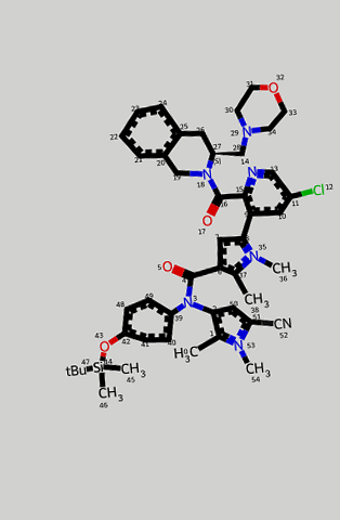 Cc1c(N(C(=O)c2cc(-c3cc(Cl)cnc3C(=O)N3Cc4ccccc4C[C@H]3CN3CCOCC3)n(C)c2C)c2ccc(O[Si](C)(C)C(C)(C)C)cc2)cc(C#N)n1C